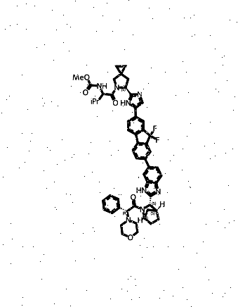 COC(=O)NC(C(=O)N1CC2(CC2)C[C@H]1c1ncc(-c2ccc3c(c2)C(F)(F)c2cc(-c4ccc5nc([C@@H]6[C@H]7CC[C@H](C7)N6C(=O)[C@@H](c6ccccc6)N6CCOCC6)[nH]c5c4)ccc2-3)[nH]1)C(C)C